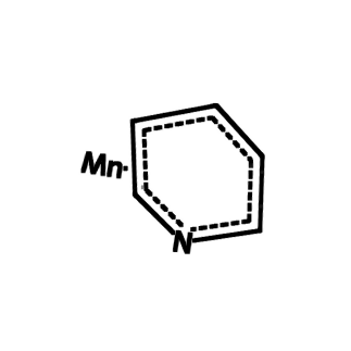 [Mn].c1ccncc1